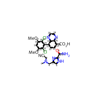 CN(CC#N)Cc1c[nH]c(C(N)=O)n1.COc1cc(OC)c(Cl)c(-c2ccc(C(=O)O)c3nccnc23)c1Cl